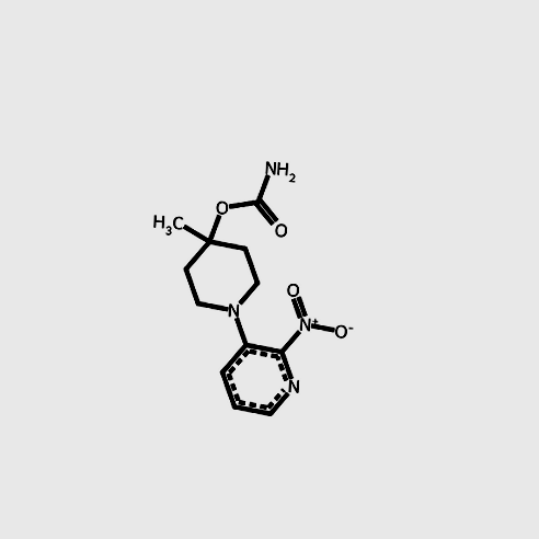 CC1(OC(N)=O)CCN(c2cccnc2[N+](=O)[O-])CC1